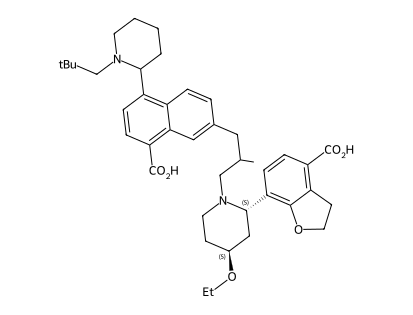 CCO[C@H]1CCN(CC(C)Cc2ccc3c(C4CCCCN4CC(C)(C)C)ccc(C(=O)O)c3c2)[C@H](c2ccc(C(=O)O)c3c2OCC3)C1